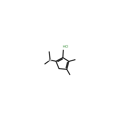 CC1=C(C)C(C)=[C]([In]([CH3])[CH3])C1.Cl